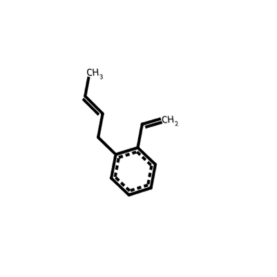 C=Cc1ccccc1C/C=C/C